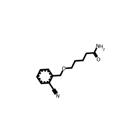 N#Cc1ccccc1COCCCCC(N)=O